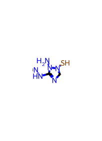 [N]NC1=NCN(S)N1N